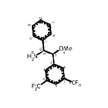 COC(c1cc(C(F)(F)F)cc(C(F)(F)F)c1)[C@@H](N)c1ccccc1